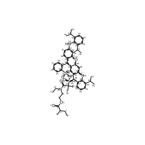 CCC(C)C(=O)OCCN(CC)C(=O)C(F)(F)S(=O)(=O)NS(=O)(=O)c1ccccc1-c1c2cc/c(=N\c3c(C(C)C)cccc3C(C)C)cc-2oc2cc(Nc3c(C(C)C)cccc3C(C)C)ccc12